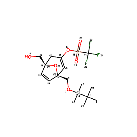 CC(C)(C)[Si](C)(C)OC[C@]12C=C[C@](CO)(CC(OS(=O)(=O)C(F)(F)F)=C1)O2